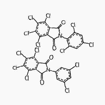 O=C1c2c(Cl)c(Cl)c(Cl)c(Cl)c2C(=O)N1c1c(Cl)cc(Cl)cc1Cl.O=C1c2c(Cl)c(Cl)c(Cl)c(Cl)c2C(=O)N1c1cc(Cl)cc(Cl)c1